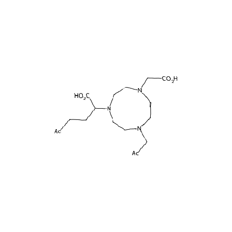 CC(=O)CCC(C(=O)O)N1CCN(CC(C)=O)CCN(CC(=O)O)CC1